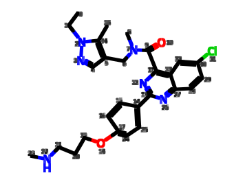 CCn1ncc(CN(C)C(=O)c2nc(-c3ccc(OCCCNC)cc3)nc3ccc(Cl)cc23)c1C